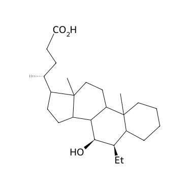 CC[C@@H]1C2CCCCC2(C)C2CCC3(C)C(CCC3[C@H](C)CCC(=O)O)C2[C@@H]1O